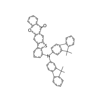 CC1(C)c2ccccc2-c2ccc(N(c3ccc4c(c3)C(C)(C)c3ccccc3-4)c3cccc4c3sc3cc5c(=O)c6ccccc6oc5cc34)cc21